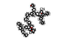 N#Cc1cccc(-c2cc(-n3c4ccc(-c5ncccn5)cc4c4cc(-c5nccc(-c6ccnc(-c7ccc8c9ccc(-c%10ncccn%10)cc9n(-c9cc(C#N)c(-n%10c%11cc(-c%12ncccn%12)ccc%11c%11ccc(-c%12ncccn%12)cc%11%10)cc9-c9cccc(C#N)c9)c8c7)n6)n5)ccc43)c(C#N)cc2-n2c3ccc(-c4ncccn4)cc3c3cc(-c4ncccn4)ccc32)c1